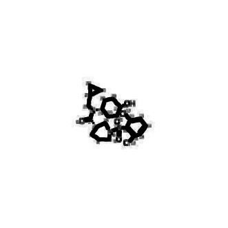 O=C([C@H]1CCCN(S(=O)(=O)c2c(Cl)cccc2Cl)C1)N(CC1CC1)[C@H]1CC[C@H](O)CC1